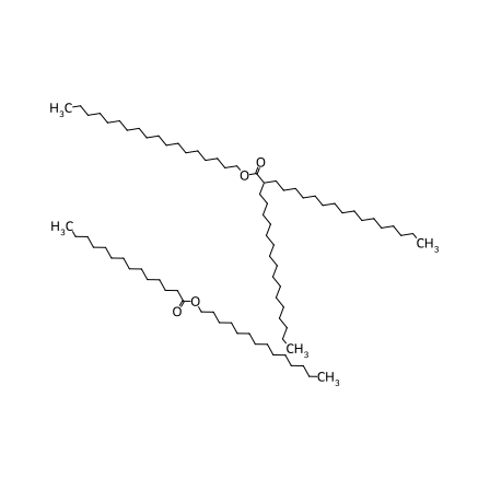 CCCCCCCCCCCCCCCCCCOC(=O)C(CCCCCCCCCCCCCCCC)CCCCCCCCCCCCCCCC.CCCCCCCCCCCCCCOC(=O)CCCCCCCCCCCCC